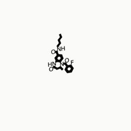 CCCCCNC(=O)c1ccc2c(c1)NC(=O)CC(C)N2C(=O)c1ccccc1F